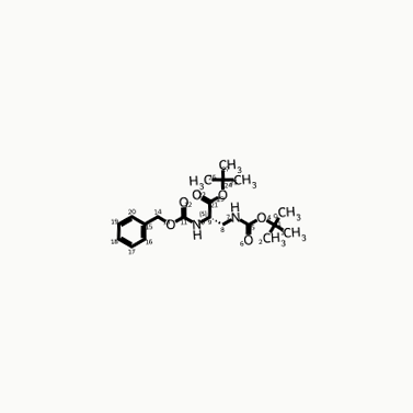 CC(C)(C)OC(=O)NC[C@H](NC(=O)OCc1ccccc1)C(=O)OC(C)(C)C